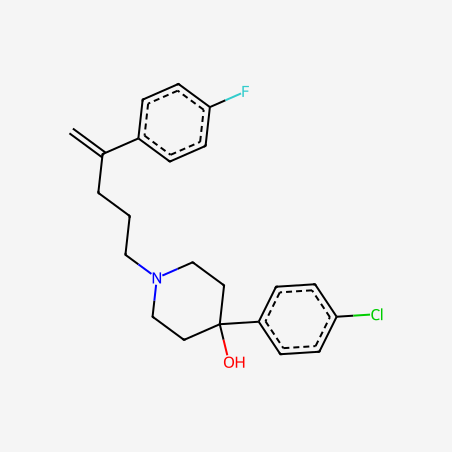 C=C(CCCN1CCC(O)(c2ccc(Cl)cc2)CC1)c1ccc(F)cc1